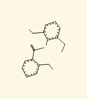 CCc1cccc(CC)c1NC(=O)c1ccccc1CCl